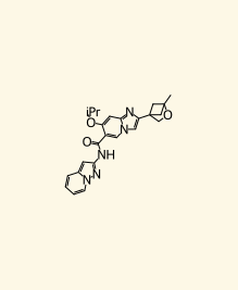 CC(C)Oc1cc2nc(C34COC(C)(C3)C4)cn2cc1C(=O)Nc1cc2ccccn2n1